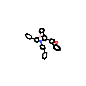 c1ccc2c(c1)B1c3cc(C4CCCCC4)ccc3N(c3ccc(C4CCCCC4)cc3)c3cc(-c4ccc5oc6ccccc6c5c4)cc-2c31